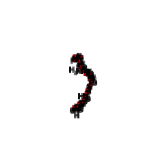 C[C@@H](C(=O)Nc1ccc(OC2CCN(C(=O)CCOCCOCCNC(=O)COc3ccc(C4CCC(=O)NC4=O)cc3)CC2)cc1)[C@H]1CC[C@@H](c2ccnc3ccc(F)cc32)CC1